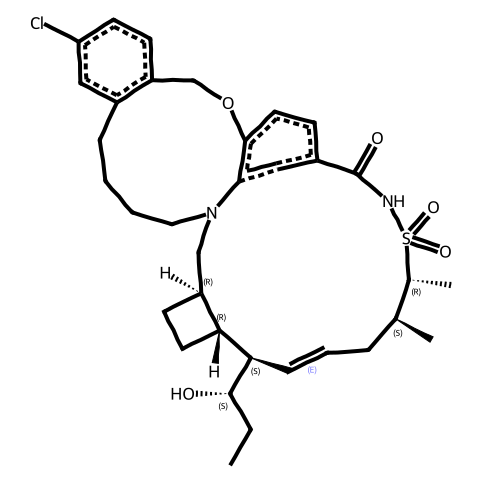 CC[C@H](O)[C@@H]1/C=C/C[C@H](C)[C@@H](C)S(=O)(=O)NC(=O)c2ccc3c(c2)N(CCCCc2cc(Cl)ccc2CO3)C[C@@H]2CC[C@H]21